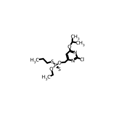 CCCS[P@@](=S)(OCC)OCc1cc(OC(C)C)nc(Cl)n1